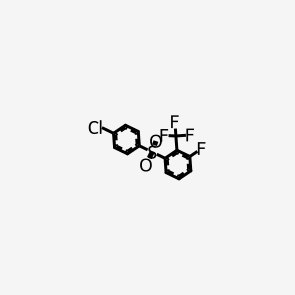 O=S(=O)(c1ccc(Cl)cc1)c1cccc(F)c1C(F)(F)F